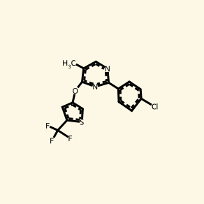 Cc1cnc(-c2ccc(Cl)cc2)nc1Oc1csc(C(F)(F)F)c1